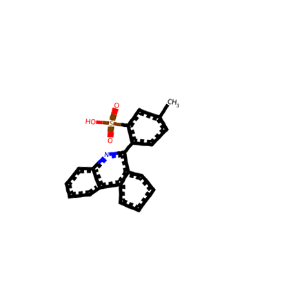 Cc1ccc(-c2nc3ccccc3c3ccccc23)c(S(=O)(=O)O)c1